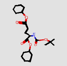 CC(C)(C)OC(=O)NC(CCC(=O)OC1CCCCC1)C(=O)OC1CCCCC1